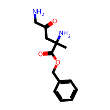 CC(N)(CC(=O)CN)C(=O)OCc1ccccc1